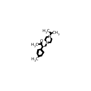 CC(=O)[C@@H](CN1CCN(C(C)C)CC1)c1ccc(C)cc1